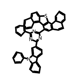 c1ccc(-c2nc(-c3ccc4c5ccccc5n(-c5ccccc5)c4c3)nc(-c3cc4ccc5ccccc5c4c4sc5ccc6ccccc6c5c34)n2)cc1